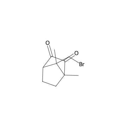 CC12CCC(C(=O)C1=O)C2(C)CBr